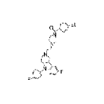 CCc1ccc(C(=O)N2CCN(CCN3CCC4C(C3)c3cc(F)ccc3N4c3ccc(F)cc3)CC2)cc1